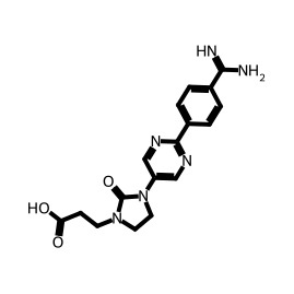 N=C(N)c1ccc(-c2ncc(N3CCN(CCC(=O)O)C3=O)cn2)cc1